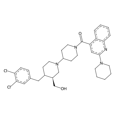 O=C(c1cc(N2CCCCC2)nc2ccccc12)N1CCC(N2CCC(Cc3ccc(Cl)c(Cl)c3)[C@H](CO)C2)CC1